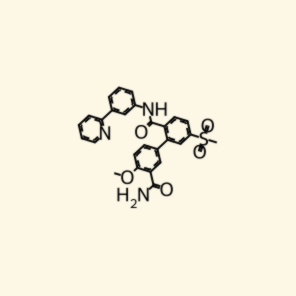 COc1ccc(-c2cc(S(C)(=O)=O)ccc2C(=O)Nc2cccc(-c3ccccn3)c2)cc1C(N)=O